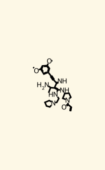 C=CC(=O)N1CC[C@H](N/C(NCCN2CCCC2)=C(\C(=N)C#Cc2cc(OC)cc(OC)c2)C(C)N)C1